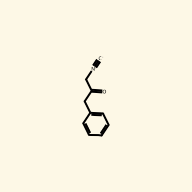 [C-]#[N+]CC(=O)Cc1ccccc1